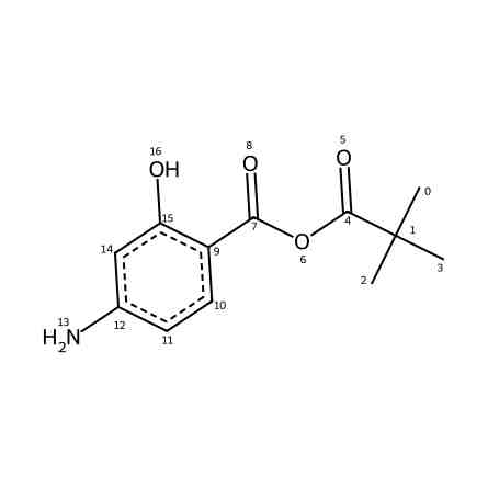 CC(C)(C)C(=O)OC(=O)c1ccc(N)cc1O